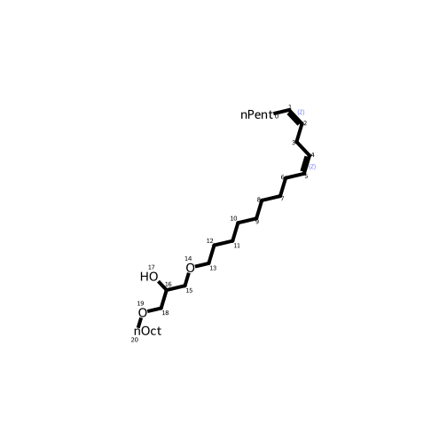 CCCCC/C=C\C/C=C\CCCCCCCCOCC(O)COCCCCCCCC